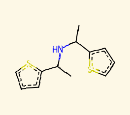 CC(NC(C)c1cccs1)c1cccs1